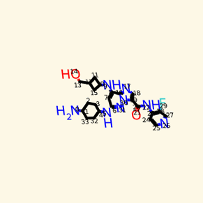 NC1CCC(Nc2cc(NC3CC(CO)C3)c3ncc(C(=O)Nc4ccncc4F)n3n2)CC1